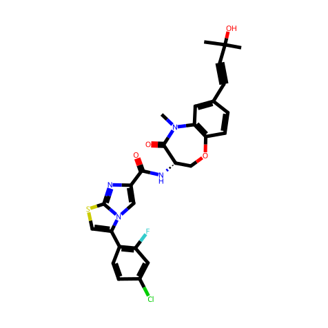 CN1C(=O)[C@@H](NC(=O)c2cn3c(-c4ccc(Cl)cc4F)csc3n2)COc2ccc(C#CC(C)(C)O)cc21